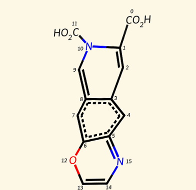 O=C(O)C1=Cc2cc3c(cc2=CN1C(=O)O)OC=CN=3